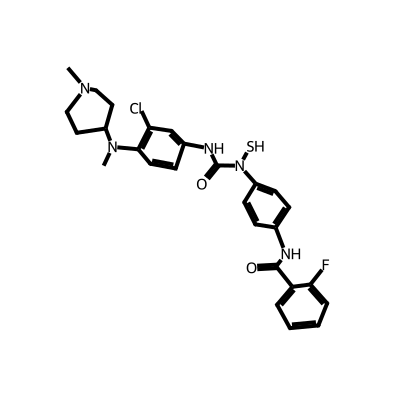 CN1CCC(N(C)c2ccc(NC(=O)N(S)c3ccc(NC(=O)c4ccccc4F)cc3)cc2Cl)CC1